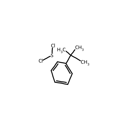 CC(C)(C)c1ccccc1.ClSCl